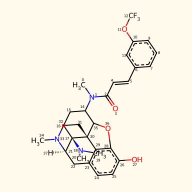 CN(C(=O)/C=C/c1cccc(OC(F)(F)F)c1)C1CC[C@@]2(N(C)C)[C@H]3Cc4ccc(O)c5c4[C@@]2(CCN3C)C1O5